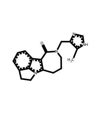 Cc1[nH]cnc1CN1CCCc2c(c3cccc4c3n2CC4)C1=O